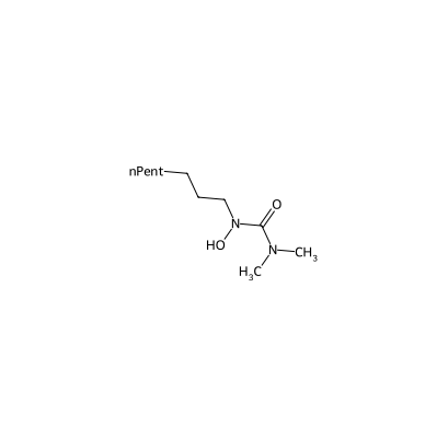 CCCCCCCCN(O)C(=O)N(C)C